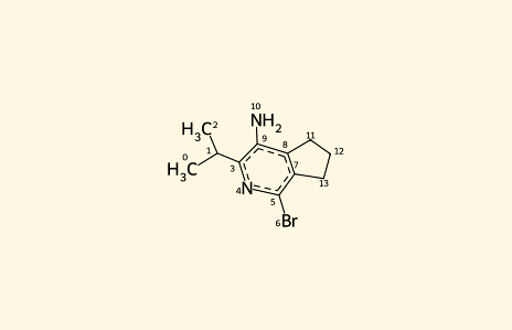 CC(C)c1nc(Br)c2c(c1N)CCC2